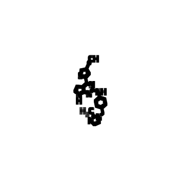 C#Cc1csc(-c2nc(Nc3ccc(Cn4ccnc4C)cc3)nc3[nH]ccc23)c1